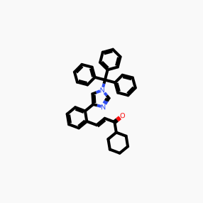 O=C(C=Cc1ccccc1-c1cn(C(c2ccccc2)(c2ccccc2)c2ccccc2)cn1)C1CCCCC1